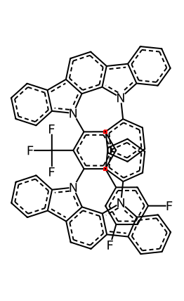 Fc1cc(F)cc(-c2ccc(-n3c4ccccc4c4ccc5c6ccccc6n(-c6ccccc6)c5c43)c(C(F)(F)F)c2-n2c3ccccc3c3ccc4c5ccccc5n(-c5ccccc5)c4c32)c1